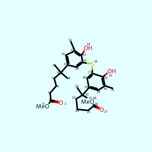 COC(=O)CCCC(C)(C)c1cc(C)c(O)c(Sc2cc(C(C)(C)CCCC(=O)OC)cc(C)c2O)c1